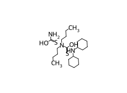 C1CCC(NC2CCCCC2)CC1.CCCCN(CCCC)C(O)=S.NC(O)=S